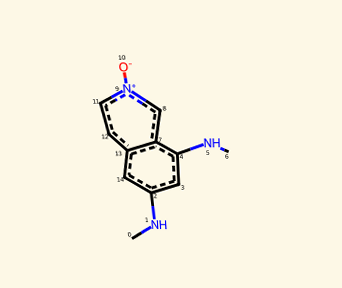 CNc1cc(NC)c2c[n+]([O-])ccc2c1